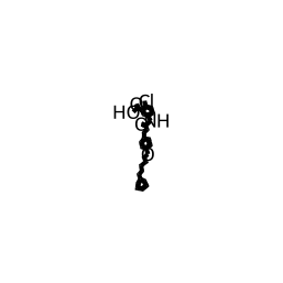 O=C(CCc1ccc(OCCCCCc2ccccc2)cc1)Nc1ccc(Cl)c(C(=O)O)c1